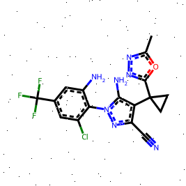 Cc1nnc(C2(c3c(C#N)nn(-c4c(N)cc(C(F)(F)F)cc4Cl)c3N)CC2)o1